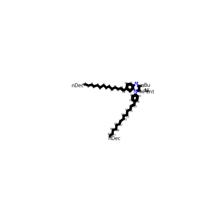 CCCCCCCCCCCCCCCCCCCCCCC=Cc1ccc(N=C(CCCC)C(CCCCC)=Nc2ccc(C=CCCCCCCCCCCCCCCCCCCCCCC)cc2)cc1.[Ni]